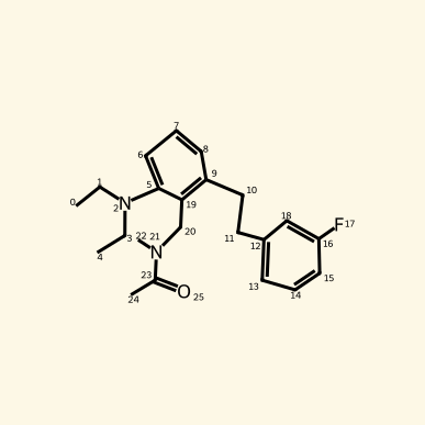 CCN(CC)c1cccc(CCc2cccc(F)c2)c1CN(C)C(C)=O